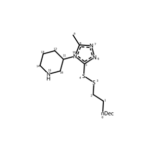 CCCCCCCCCCCCSSc1nnc(C)n1C1CCCNC1